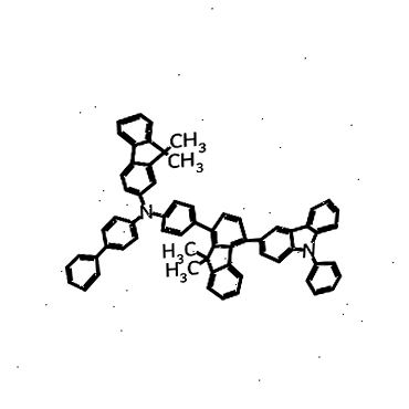 CC1(C)c2ccccc2-c2ccc(N(c3ccc(-c4ccccc4)cc3)c3ccc(-c4ccc(-c5ccc6c(c5)c5ccccc5n6-c5ccccc5)c5c4C(C)(C)c4ccccc4-5)cc3)cc21